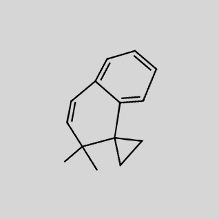 CC1(C)C=Cc2ccccc2C12CC2